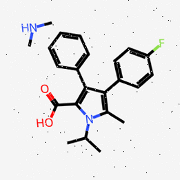 CNC.Cc1c(-c2ccc(F)cc2)c(-c2ccccc2)c(C(=O)O)n1C(C)C